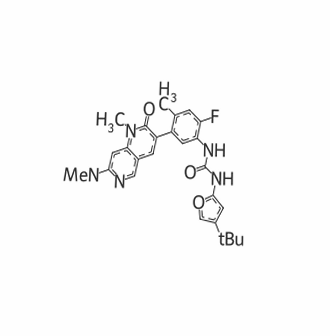 CNc1cc2c(cn1)cc(-c1cc(NC(=O)Nc3cc(C(C)(C)C)co3)c(F)cc1C)c(=O)n2C